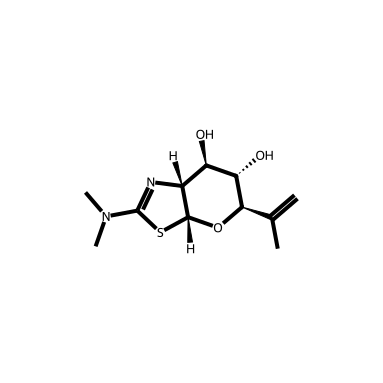 C=C(C)[C@H]1O[C@@H]2SC(N(C)C)=N[C@@H]2[C@@H](O)[C@@H]1O